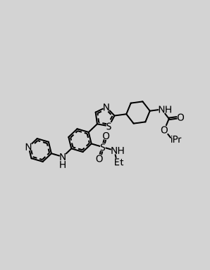 CCNS(=O)(=O)c1cc(Nc2ccncc2)ccc1-c1cnc(C2CCC(NC(=O)OC(C)C)CC2)s1